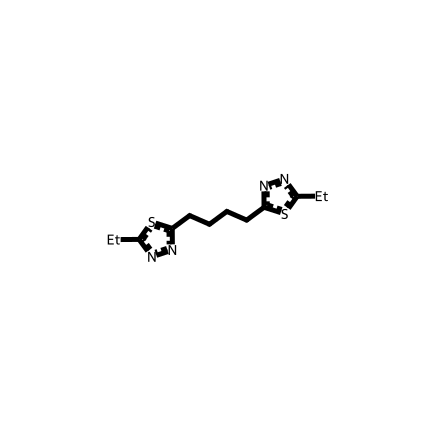 CCc1nnc(CCCCc2nnc(CC)s2)s1